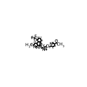 CC(=O)c1ccc(COc2nnc(NC(=O)c3cnc(C)cc3-c3c(F)cccc3OC(F)F)s2)nc1